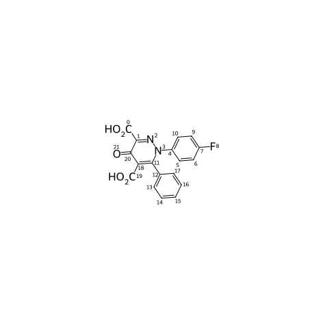 O=C(O)c1nn(-c2ccc(F)cc2)c(-c2ccccc2)c(C(=O)O)c1=O